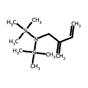 C=CC(=C)CN([Si](C)(C)C)[Si](C)(C)C